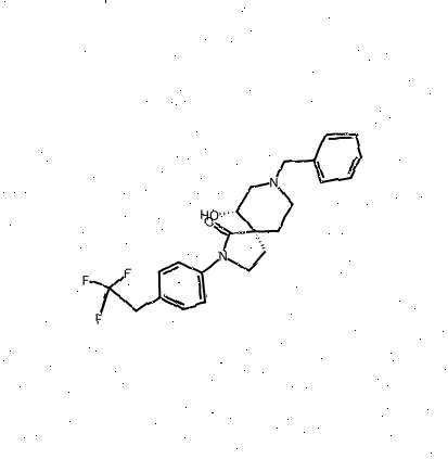 O=C1N(c2ccc(CC(F)(F)F)cc2)CC[C@]12CCN(Cc1ccccc1)C[C@H]2O